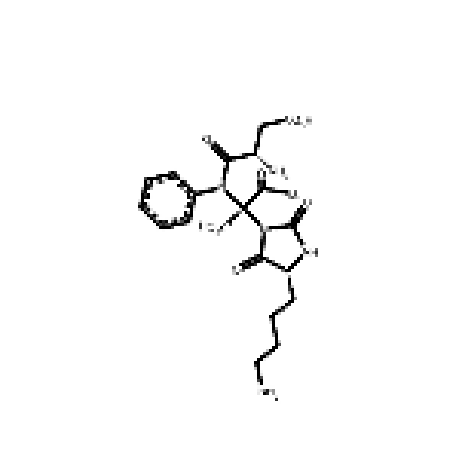 CCC(=O)[C@](C(=O)O)(N1C(=O)N[C@@H](CCCCN)C1=O)N(C(=O)[C@@H](N)CC(=O)O)c1ccccc1